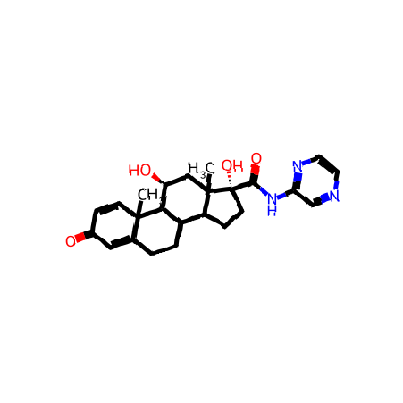 CC12C=CC(=O)C=C1CCC1C2[C@@H](O)CC2(C)C1CC[C@]2(O)C(=O)Nc1cnccn1